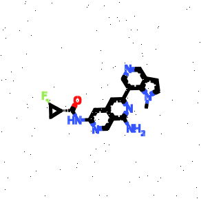 Cn1ccc2cncc(-c3cc4cc(NC(=O)[C@@H]5C[C@@H]5F)ncc4c(N)n3)c21